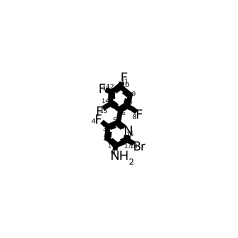 Nc1cc(F)c(-c2c(F)cc(F)c(F)c2F)nc1Br